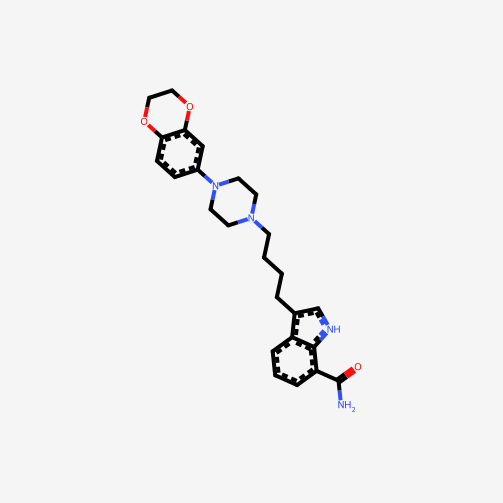 NC(=O)c1cccc2c(CCCCN3CCN(c4ccc5c(c4)OCCO5)CC3)c[nH]c12